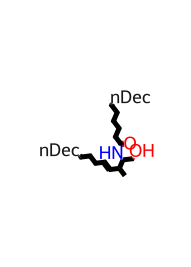 CCCCCCCCCCCCC/C=C/C(C)C(CO)NC(=O)CCCCCCCCCCCCCCC